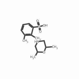 CC1CNCC(C)O1.Cc1cccc(S(=O)(=O)O)c1C